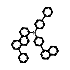 c1ccc(-c2ccc(N(c3ccc(-c4cccc5ccccc45)cc3)c3cccc4c3ccc3c(-c5ccccc5)cccc34)cc2)cc1